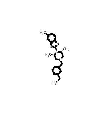 CCc1cccc(CN2C[C@@H](C)N(c3nc4ccc(C)cc4s3)[C@@H](C)C2)c1